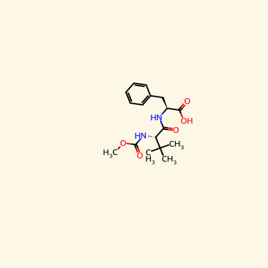 COC(=O)N[C@H](C(=O)N[C@@H](Cc1ccccc1)C(=O)O)C(C)(C)C